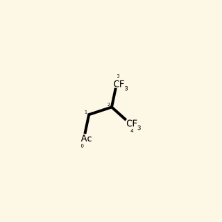 CC(=O)CC(C(F)(F)F)C(F)(F)F